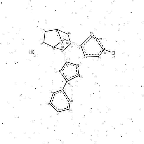 CN1C2CCC1[C@@H](c1nnc(-c3ccccc3)s1)[C@@H](c1ccc(Cl)cc1)C2.Cl